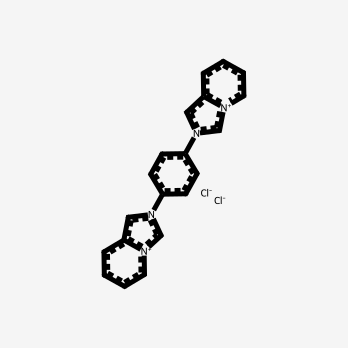 [Cl-].[Cl-].c1cc[n+]2cn(-c3ccc(-n4cc5cccc[n+]5c4)cc3)cc2c1